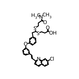 CN(C)C(=O)CCSC(Cc1cccc(Oc2cccc(C=Cc3ccc4ccc(Cl)cc4n3)c2)c1)SCCC(=O)O